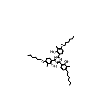 CCCCCCOc1ccc(-c2nc(-c3ccc(CCCCCC)c(C)c3O)nc(-c3ccc(OCCCCCC)c(C)c3O)n2)c(O)c1C